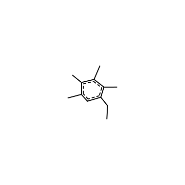 CCc1cc(C)c(C)c(C)c1C